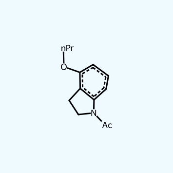 CCCOc1cccc2c1CCN2C(C)=O